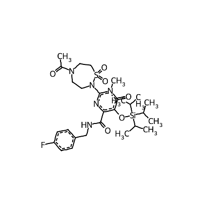 CC(=O)N1CCN(c2nc(C(=O)NCc3ccc(F)cc3)c(O[Si](C(C)C)(C(C)C)C(C)C)c(=O)n2C)S(=O)(=O)CC1